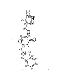 O=c1cc(CN2Cc3ccccc3C2)occ1OCc1c[nH]nn1